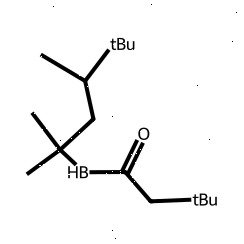 CC(CC(C)(C)BC(=O)CC(C)(C)C)C(C)(C)C